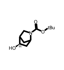 CC(C)(C)OC(=O)N1CC2CC1C[C@H]2O